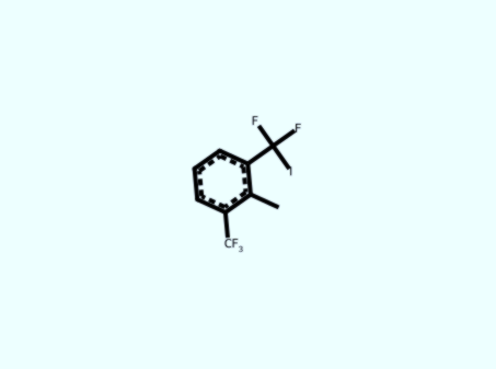 Cc1c(C(F)(F)F)cccc1C(F)(F)I